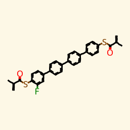 C=C(C)C(=O)Sc1ccc(-c2ccc(-c3ccc(-c4ccc(SC(=O)C(=C)C)c(F)c4)cc3)cc2)cc1